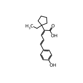 CCC1(C(=CC=Cc2ccc(O)cc2)C(=O)O)CCCC1